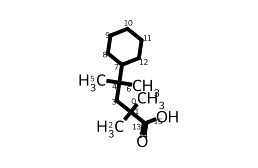 CC(C)(CC(C)(C)C1CCCCC1)C(=O)O